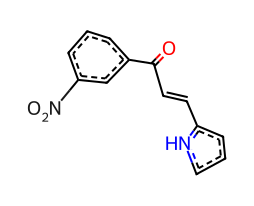 O=C(C=Cc1ccc[nH]1)c1cccc([N+](=O)[O-])c1